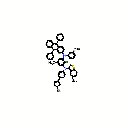 CCC1CC=C(c2ccc(N(c3cc(C)cc(N(c4cccc(C(C)(C)C)c4)c4ccc5c(-c6ccccc6)c6ccccc6c(-c6ccccc6)c5c4)c3Cl)c3csc4ccc(C(C)(C)C)cc34)cc2)C1